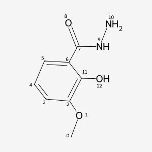 COc1cccc(C(=O)NN)c1O